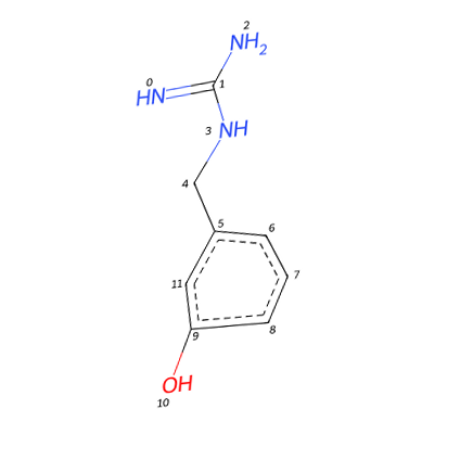 N=C(N)NCc1cccc(O)c1